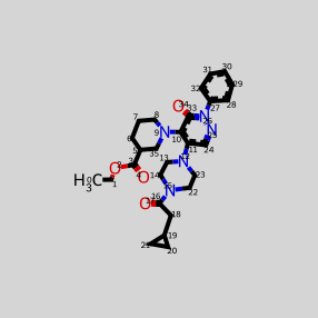 CCOC(=O)C1CCCN(c2c(N3CCN(C(=O)CC4CC4)CC3)cnn(-c3ccccc3)c2=O)C1